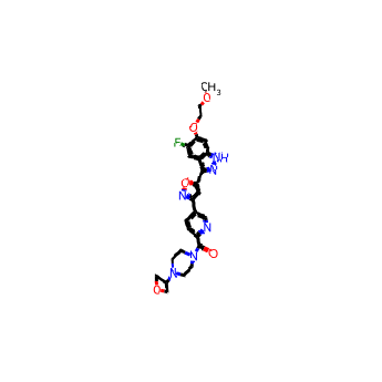 COCCOc1cc2[nH]nc(-c3cc(-c4ccc(C(=O)N5CCN(C6COC6)CC5)nc4)no3)c2cc1F